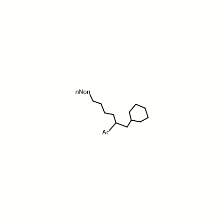 CCCCCCCCCCCCCC(CC1CCCCC1)C(C)=O